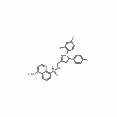 CC(=O)Nc1ccnc2c(S(=O)(=O)NCC3=NN(c4ccc(Cl)cc4Cl)C(c4ccc(Cl)cc4)C3)cccc12